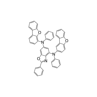 c1ccc(-c2nc3c(N(c4ccccc4)c4ccc5oc6ccccc6c5c4)cc(N(c4ccccc4)c4cccc5c4oc4ccccc45)cc3o2)cc1